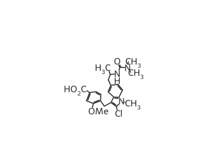 COc1cc(C(=O)O)ccc1Cc1c(Cl)n(C)c2ccc(CC(C)NC(=O)N(C)C)cc12